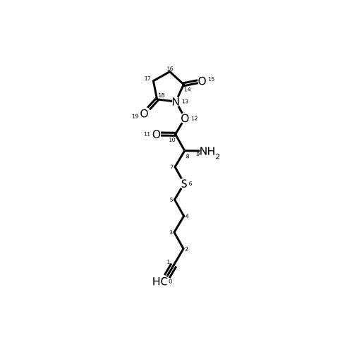 C#CCCCCSCC(N)C(=O)ON1C(=O)CCC1=O